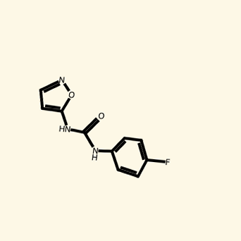 O=C(Nc1ccc(F)cc1)Nc1ccno1